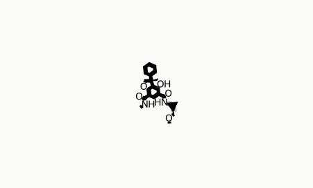 CNC(=O)c1cc(C(=O)N[C@@H]2C[C@H]2COC)cc2c1OC[C@]2(CO)c1ccccc1